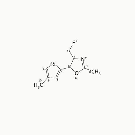 CC1=NC(CF)C(c2cc(C)cs2)O1